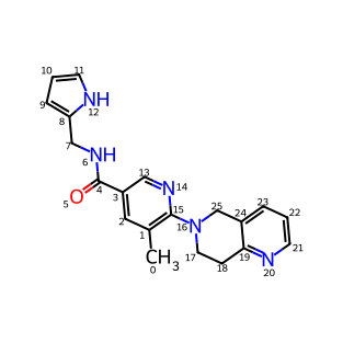 Cc1cc(C(=O)NCc2ccc[nH]2)cnc1N1CCc2ncccc2C1